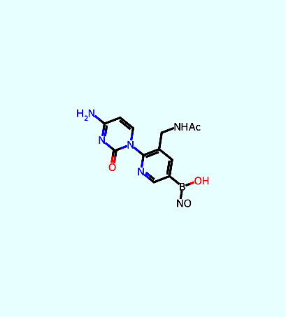 CC(=O)NCc1cc(B(O)N=O)cnc1-n1ccc(N)nc1=O